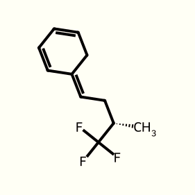 C[C@@H](C/C=C1/C=CC=CC1)C(F)(F)F